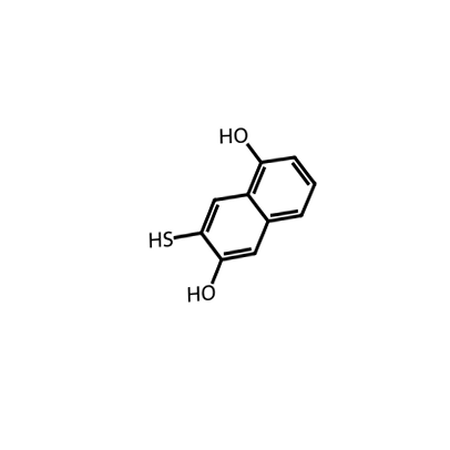 Oc1cc2cccc(O)c2cc1S